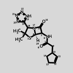 CC1(C)S[C@@H]2C(NC(=O)CC3C=CCC3)C(=O)N2C1c1nnn[nH]1